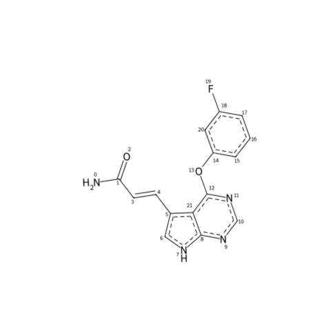 NC(=O)/C=C/c1c[nH]c2ncnc(Oc3cccc(F)c3)c12